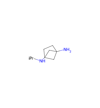 CC(C)NC12CCC(N)(C1)C2